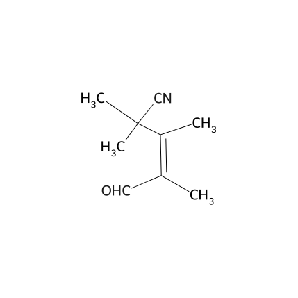 CC(C=O)=C(C)C(C)(C)C#N